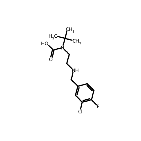 CC(C)(C)N(CCNCc1ccc(F)c(Cl)c1)C(=O)O